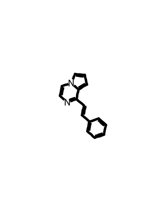 C(=C\c1nccn2cccc12)/c1ccccc1